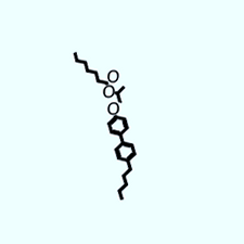 CCCCCCC(=O)OC(C)COc1ccc(-c2ccc(CCCCC)cc2)cc1